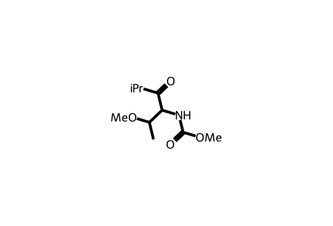 COC(=O)NC(C(=O)C(C)C)C(C)OC